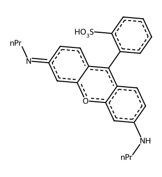 CCC/N=c1\ccc2c(-c3ccccc3S(=O)(=O)O)c3ccc(NCCC)cc3oc-2c1